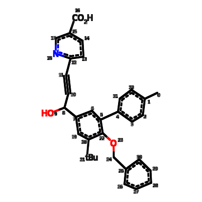 Cc1ccc(-c2cc(C(O)C#Cc3ccc(C(=O)O)cn3)cc(C(C)(C)C)c2OCc2ccccc2)cc1